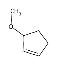 COC1[C]=CCC1